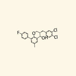 Cc1cc(-c2ccc(F)cc2)c2c(c1)[C@H](O)[C@H](Cc1ccc(Cl)c(Cl)c1)CO2